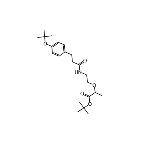 CC(OCCNC(=O)CCc1ccc(OC(C)(C)C)cc1)C(=O)OC(C)(C)C